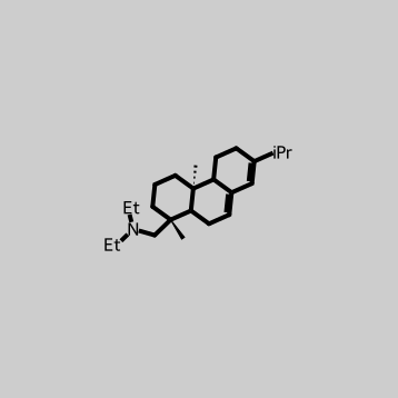 CCN(CC)C[C@]1(C)CCC[C@@]2(C)C3CCC(C(C)C)=CC3=CCC12